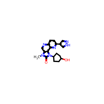 Cn1c(=O)n(C2CCC(O)CC2)c2c3nc(-c4cn[nH]c4)ccc3ncc21